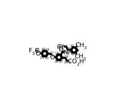 Cc1cc(C)cc(C(CC(C)C)NC(=O)c2cc(OCc3ccc(OC(F)(F)F)cc3)ccc2CCC(=O)O)c1